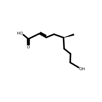 C[C@H](C/C=C/C(=O)O)CCCO